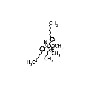 CCCCCCc1cccc(C2=CC(CCCCC)=C(c3cccc(CCCCCC)c3)[N+]2=[N-])c1.C[O][Ni][O]C